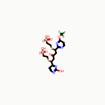 O=C(CC(SCCS(=O)(=O)O)c1ccnc(O)n1)CC(SCCS(=O)(=O)O)c1nccc(OC(F)(F)F)n1